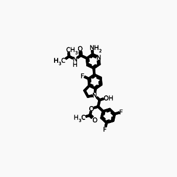 CC(=O)OC(c1cc(F)cc(F)c1)C(O)N1CCc2c1ccc(-c1cnc(N)c(C(=O)NC(C)C)c1)c2F